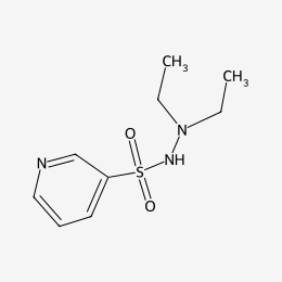 CCN(CC)NS(=O)(=O)c1cccnc1